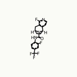 O=C(Nc1ccc(C(F)(F)F)cc1F)N1[C@H]2CC[C@@H]1c1ccnc(F)c1C2